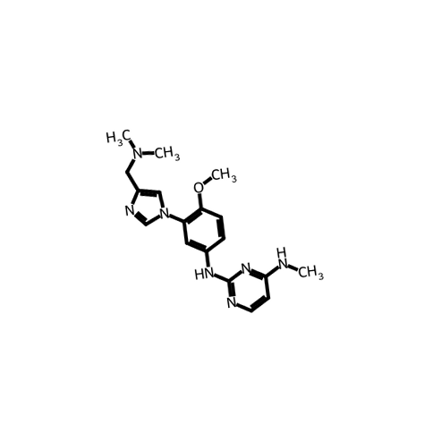 CNc1ccnc(Nc2ccc(OC)c(-n3cnc(CN(C)C)c3)c2)n1